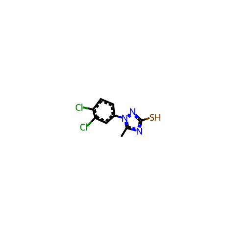 Cc1nc(S)nn1-c1ccc(Cl)c(Cl)c1